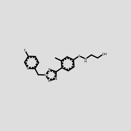 Cc1cc(SNCCO)ccc1-c1nnn(Cc2ccc(F)cn2)n1